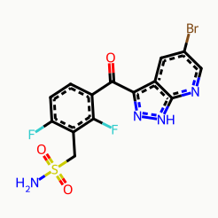 NS(=O)(=O)Cc1c(F)ccc(C(=O)c2n[nH]c3ncc(Br)cc23)c1F